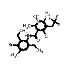 CCc1cc(C)c(Br)c(CC)c1NC(=O)c1c(Cl)c(CC(F)(F)F)c(C)[n+]([O-])c1C